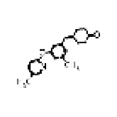 Cc1ccc(Oc2cc(C)cc(C=C3CCC(=O)CC3)c2)nc1